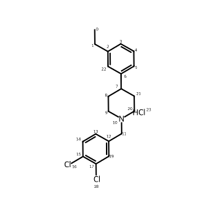 CCc1cccc(C2CCN(Cc3ccc(Cl)c(Cl)c3)CC2)c1.Cl